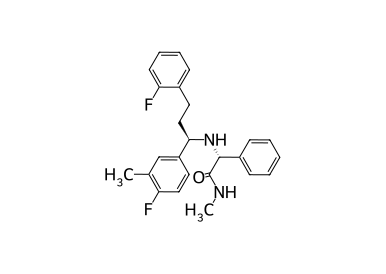 CNC(=O)[C@H](N[C@H](CCc1ccccc1F)c1ccc(F)c(C)c1)c1ccccc1